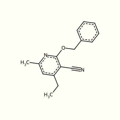 CCc1cc(C)nc(OCc2ccccc2)c1C#N